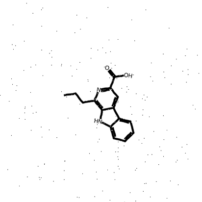 CCCc1nc(C(=O)O)cc2c1[nH]c1ccccc12